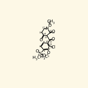 COc1c(S(C)(=O)=O)ccc(C(=O)C2C(=O)CCN(OC)C2=O)c1Cl